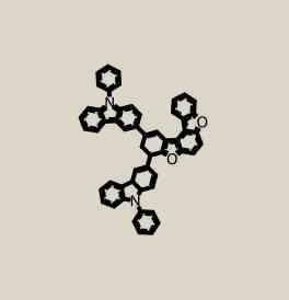 C1=CC2C(C=C1C1CC(c3ccc4c(c3)c3ccccc3n4-c3ccccc3)=Cc3c1oc1ccc4oc5ccccc5c4c31)c1ccccc1N2c1ccccc1